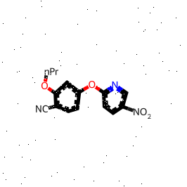 CCCOc1cc(Oc2ccc([N+](=O)[O-])cn2)ccc1C#N